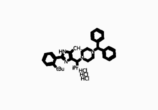 Cc1[nH]c(-c2ccccc2C(C)(C)C)nc1C(C(C)C)N1CCN(C(c2ccccc2)c2ccccc2)CC1.Cl.Cl.Cl